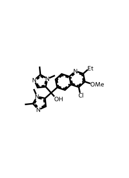 CCc1nc2ccc(C(O)(c3cnc(C)n3C)c3cnc(C)n3C)cc2c(Cl)c1OC